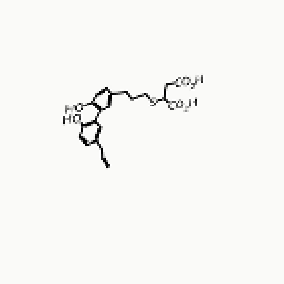 C=CCc1ccc(O)c(-c2cc(CCCSC(CC(=O)O)C(=O)O)ccc2O)c1